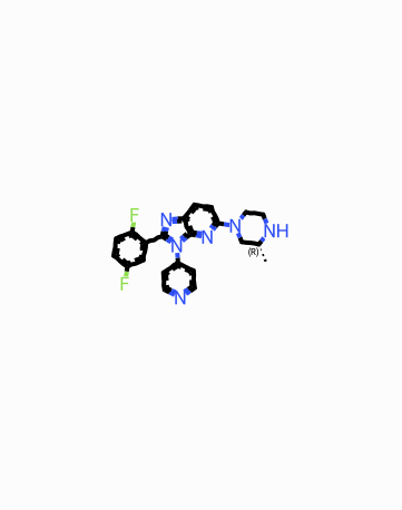 C[C@@H]1CN(c2ccc3nc(-c4cc(F)ccc4F)n(-c4ccncc4)c3n2)CCN1